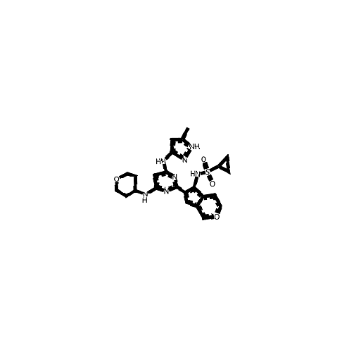 Cc1cc(Nc2cc(NC3CCOCC3)nc(-c3cc4coccc-4c3NS(=O)(=O)C3CC3)n2)n[nH]1